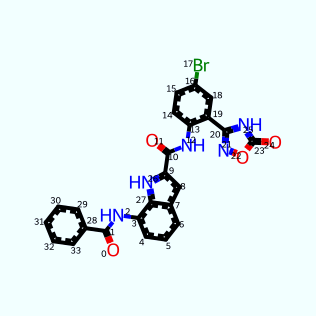 O=C(Nc1cccc2cc(C(=O)Nc3ccc(Br)cc3-c3noc(=O)[nH]3)[nH]c12)c1ccccc1